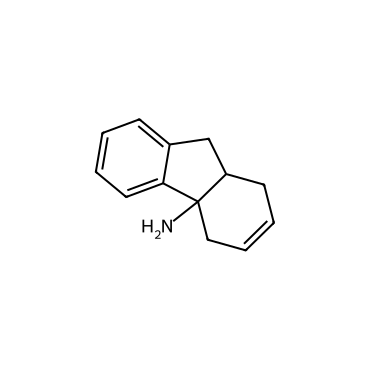 NC12CC=CCC1Cc1ccccc12